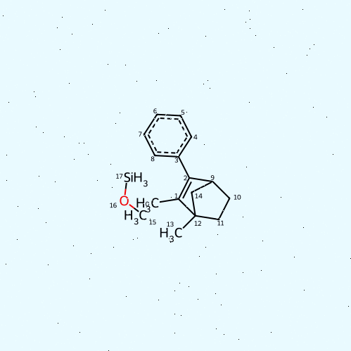 CC1=C(c2ccccc2)C2CCC1(C)C2.CO[SiH3]